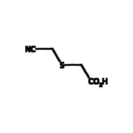 N#CCSCC(=O)O